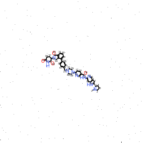 CN1CCC[C@@H]1c1cc2cnc(NC(=O)c3ccc(N4CCN(Cc5ccc(-c6cccc7c6CN(C6CCC(=O)NC6=O)C7=O)cc5)CC4)nc3)cc2[nH]1